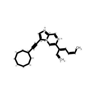 C=C/C(=C\C=C/C)c1cn2c(C#CC3CCCCCCC3)cnc2cn1